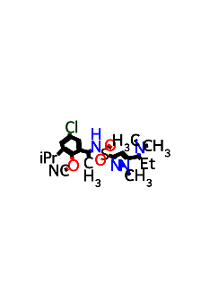 CCC(c1cc(S(=O)(=O)NC(C)c2cc(Cl)cc(C(C)C)c2OC#N)nn1C)N(C)C